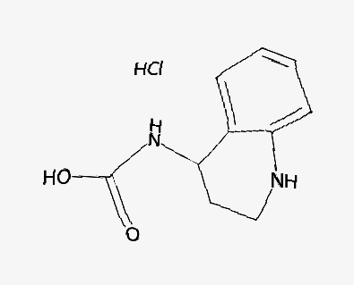 Cl.O=C(O)NC1CCNc2ccccc21